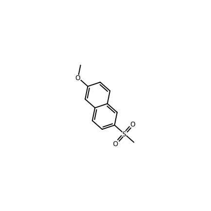 COc1ccc2cc(S(C)(=O)=O)ccc2c1